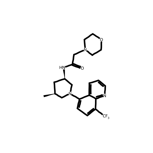 C[C@H]1C[C@@H](NC(=O)CN2CCOCC2)CN(c2ccc(C(F)(F)F)c3ncccc23)C1